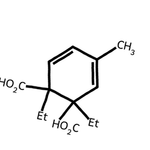 CCC1(C(=O)O)C=CC(C)=CC1(CC)C(=O)O